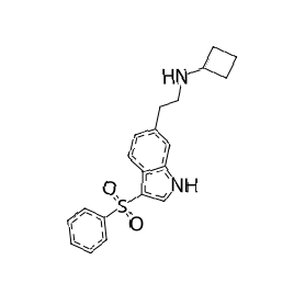 O=S(=O)(c1ccccc1)c1c[nH]c2cc(CCNC3CCC3)ccc12